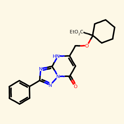 CCOC(=O)C1(OCc2cc(=O)n3nc(-c4ccccc4)nc3[nH]2)CCCCC1